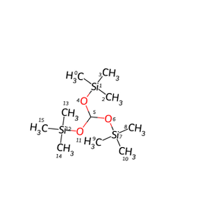 C[Si](C)(C)OC(O[Si](C)(C)C)O[Si](C)(C)C